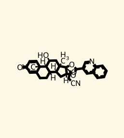 C[C@]12C=CC(=O)C=C1CC[C@@H]1[C@@H]2[C@@H](O)C[C@@]2(C)[C@H]1C[C@H]1OC(c3cnc4ccccc4c3)O[C@]12C(=O)CC#N